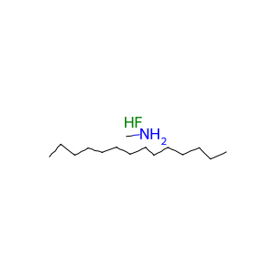 CCCCCCCCCCCCCC.CN.F